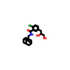 O=C(NCC12CC3CC(CC(C3)C1)C2)c1cc(CC(O)CO)ccc1Cl